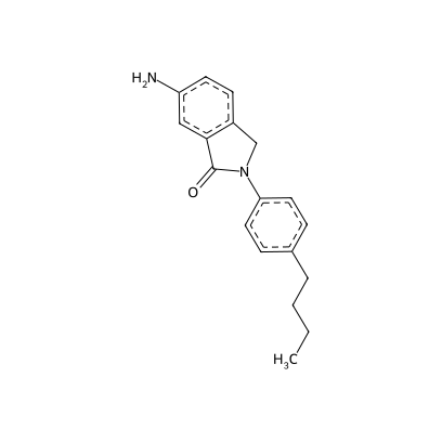 CCCCc1ccc(N2Cc3ccc(N)cc3C2=O)cc1